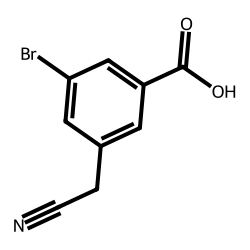 N#CCc1cc(Br)cc(C(=O)O)c1